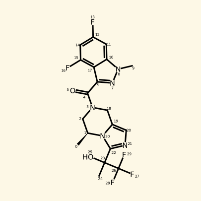 C[C@H]1CN(C(=O)c2nn(C)c3cc(F)cc(F)c23)Cc2cnc(C(C)(O)C(F)(F)F)n21